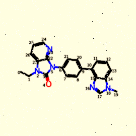 CCn1c(=O)n(-c2ccc(-c3cccc4c3ncn4C)cc2)c2ncccc21